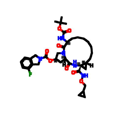 CC(C)(C)OC(=O)N[C@H]1CCCCCCC[C@@H]2C[C@@]2(C(=O)NOCC2CC2)NC(=O)[C@@H]2C[C@@H](OC(=O)N3Cc4cccc(F)c4C3)CN2C1=O